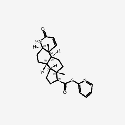 C[C@]12C=CC(=O)N[C@@H]1CC[C@@H]1[C@@H]2CC[C@]2(C)[C@@H](C(=O)Sc3ccccn3)CC[C@@H]12